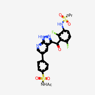 CCCS(=O)(=O)Nc1ccc(F)c(C(=O)c2n[nH]c3ncc(-c4ccc(S(=O)(=O)NC(C)=O)cc4)cc23)c1F